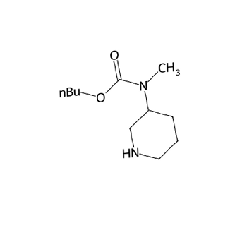 CCCCOC(=O)N(C)C1CCCNC1